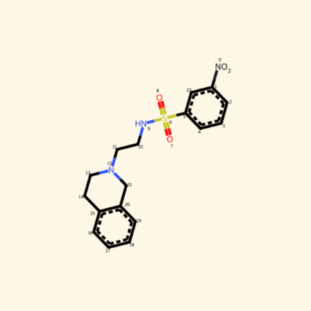 O=[N+]([O-])c1cccc(S(=O)(=O)NCCN2CCc3ccccc3C2)c1